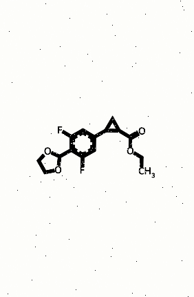 CCOC(=O)C1CC1c1cc(F)c(C2OCCO2)c(F)c1